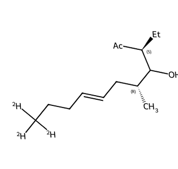 [2H]C([2H])([2H])CCC=CC[C@@H](C)C(O)[C@H](CC)C(C)=O